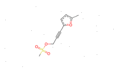 Cc1ccc(C#CCOS(C)(=O)=O)o1